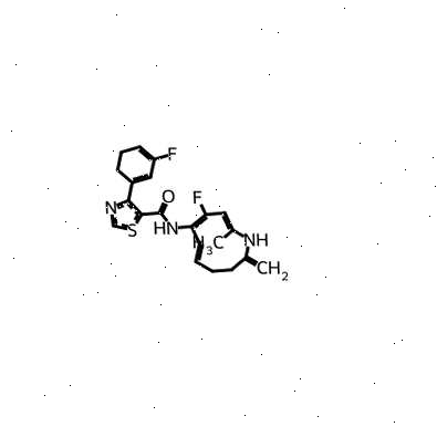 C=C1CC/C=C/C(NC(=O)c2scnc2C2=CC(F)=CCC2)=C(F)\C=C(/C)N1